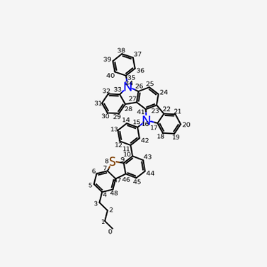 CCCCc1ccc2sc3c(-c4cccc(-n5c6ccccc6c6ccc7c(c8ccccc8n7-c7ccccc7)c65)c4)cccc3c2c1